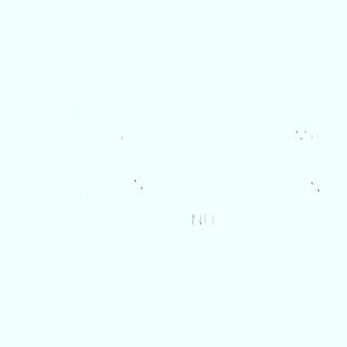 COc1ncccc1CC1CN(S(=O)(=O)c2cccs2)CCN1